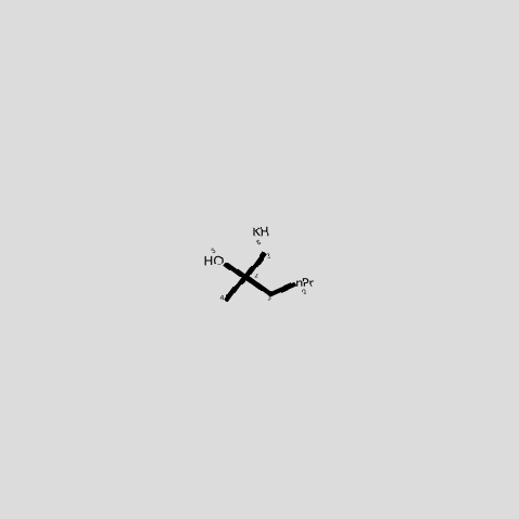 CCCCC(C)(C)O.[KH]